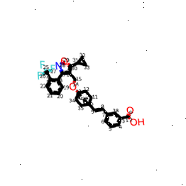 O=C(O)c1cccc(C=CC23CCC(OCc4c(-c5ccccc5C(F)(F)F)noc4C4CC4)(CC2)CC3)c1